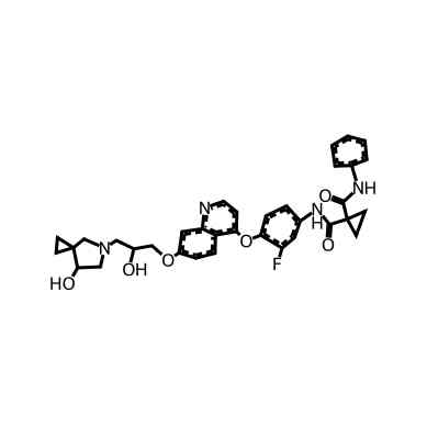 O=C(Nc1ccccc1)C1(C(=O)Nc2ccc(Oc3ccnc4cc(OCC(O)CN5CC(O)C6(CC6)C5)ccc34)c(F)c2)CC1